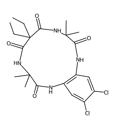 CCC1(CC)C(=O)NC(C)(C)C(=O)Nc2cc(Cl)c(Cl)cc2NC(=O)C(C)(C)NC1=O